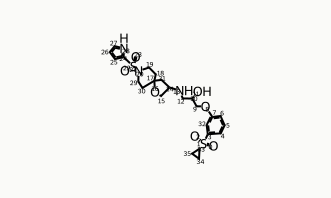 O=S(=O)(c1cccc(OCC(O)CNC2COC3(CCN(S(=O)(=O)c4ccc[nH]4)CC3)C2)c1)C1CC1